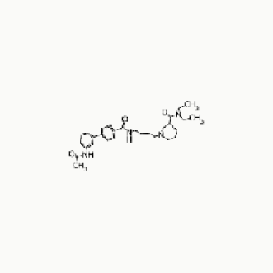 CCN(CC)C(=O)C1CCCN(CCCCNC(=O)c2ccc(-c3cccc(NC(C)=O)c3)cc2)C1